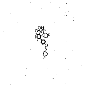 Cc1nc(C)c(C(OC(C)(C)C)C(=O)O)c(N2CCC(C)(C)CC2)c1-c1ccc(OCCN2CCN(C)CC2)cc1